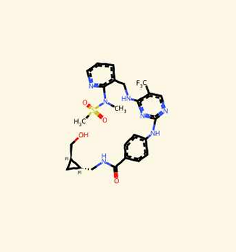 CN(c1ncccc1CNc1nc(Nc2ccc(C(=O)NC[C@@H]3C[C@H]3CO)cc2)ncc1C(F)(F)F)S(C)(=O)=O